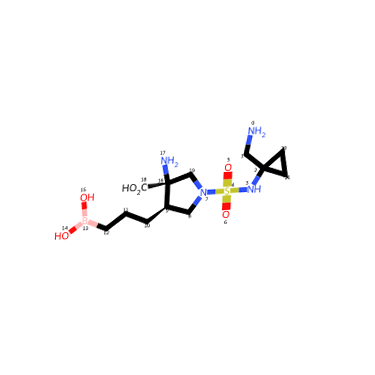 NCC1(NS(=O)(=O)N2C[C@@H](CCCB(O)O)[C@@](N)(C(=O)O)C2)CC1